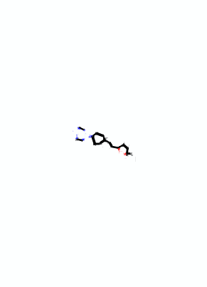 CC1(C)C=CC(C=Cc2ccc(N3CCNCC3)cc2)O1